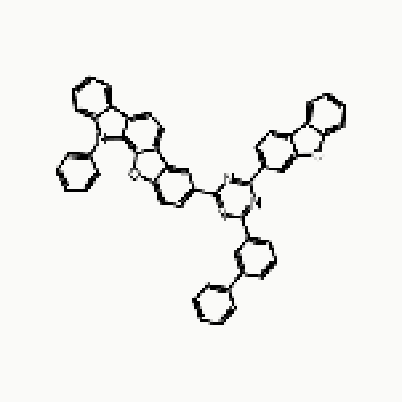 c1ccc(-c2cccc(-c3nc(-c4ccc5c(c4)oc4ccccc45)nc(-c4ccc5oc6c(ccc7c8ccccc8n(-c8ccccc8)c76)c5c4)n3)c2)cc1